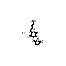 NCCCC[C@@]1(C(=O)O)NC(=O)C(ON2C(=O)CCC2=O)CC1=O